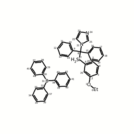 CCOc1cccc([SiH2]C(c2ccccc2)(c2ccccc2)n2ccnc2)c1.c1ccc(B(c2ccccc2)c2ccccc2)cc1